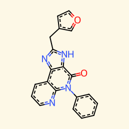 O=c1c2[nH]c(Cc3ccoc3)nc2c2cccnc2n1-c1ccccc1